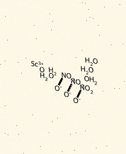 O.O.O.O.O.O=[N+]([O-])[O-].O=[N+]([O-])[O-].O=[N+]([O-])[O-].[Sc+3]